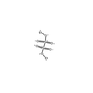 CCOS(=O)(=O)S(=O)(=O)OCC